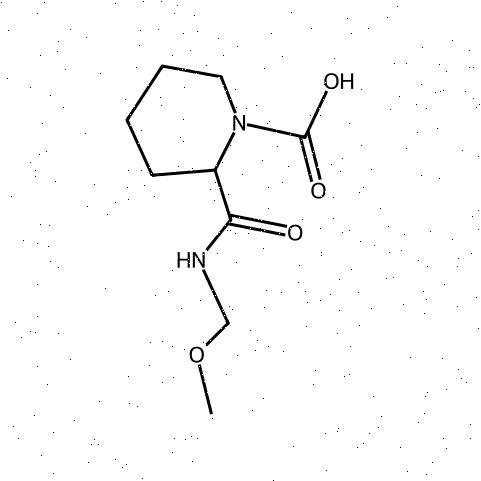 COCNC(=O)C1CCCCN1C(=O)O